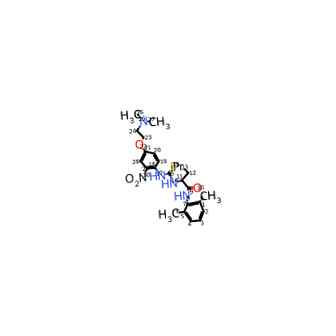 Cc1cccc(C)c1NC(=O)C(CC(C)C)NC(=S)Nc1ccc(OCCN(C)C)cc1[N+](=O)[O-]